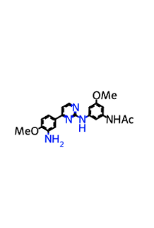 COc1cc(NC(C)=O)cc(Nc2nccc(-c3ccc(OC)c(N)c3)n2)c1